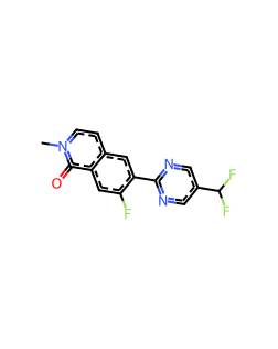 Cn1ccc2cc(-c3ncc(C(F)F)cn3)c(F)cc2c1=O